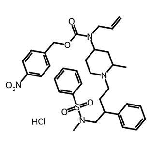 C=CCN(C(=O)OCc1ccc([N+](=O)[O-])cc1)C1CCN(CCC(CN(C)S(=O)(=O)c2ccccc2)c2ccccc2)C(C)C1.Cl